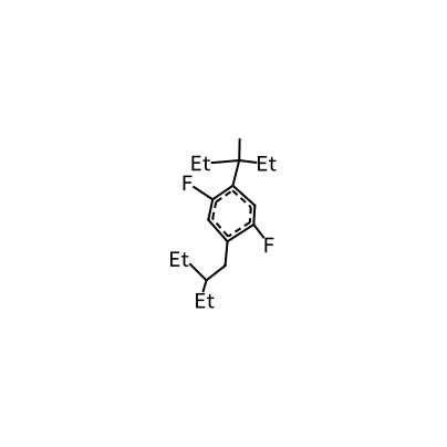 CCC(CC)Cc1cc(F)c(C(C)(CC)CC)cc1F